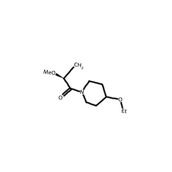 CCOC1CCN(C(=O)[C@H](C)OC)CC1